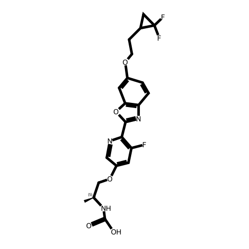 C[C@@H](COc1cnc(-c2nc3ccc(OCCC4CC4(F)F)cc3o2)c(F)c1)NC(=O)O